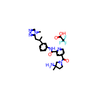 CC(Cc1nncn1C)c1cccc(NC(=O)c2cc(C(=O)N3CCC(C)(N)C3)ccn2)c1.O=C(O)C(F)(F)F